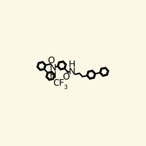 O=C(NCCCc1ccc(-c2ccccc2)cc1)c1cccc(NC(=O)c2ccccc2-c2ccc(C(F)(F)F)cc2)c1